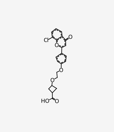 O=C(O)C1CC(OCCOc2ccc(-c3cc(=O)c4cccc(Cl)c4o3)cc2)C1